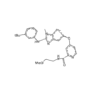 COCCNC(=O)c1cc(Oc2ccc3c(c2)nc(Nc2cccc(C(C)(C)C)c2)n3C)ccn1